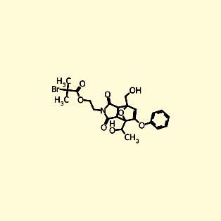 CC(O)C12OC(CO)(C=C1Oc1ccccc1)C1C(=O)N(CCOC(=O)C(C)(C)Br)C(=O)C12